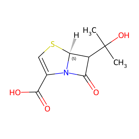 CC(C)(O)C1C(=O)N2C(C(=O)O)=CS[C@@H]12